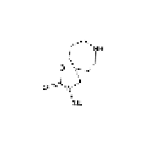 CC(C)(C)N1CC2(CCCNCC2)OC1=O